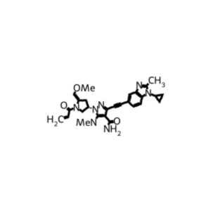 C=CC(=O)N1C[C@@H](n2nc(C#Cc3ccc4c(c3)nc(C)n4C3CC3)c(C(N)=O)c2NC)C/C1=C\OC